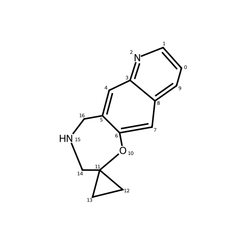 c1cnc2cc3c(cc2c1)OC1(CC1)CNC3